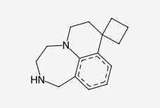 c1cc2c3c(c1)C1(CCC1)CCN3CCNC2